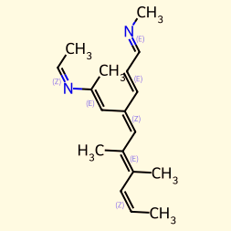 C\C=C/C(C)=C(C)/C=C(/C=C/C=N/C)\C=C(C)\N=C/C